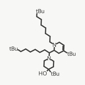 CC(C)(C)CCCCCCCN1CC=C(C(C)(C)C)CC1C(CCCCCCC(C)(C)C)N1CCC(O)(C(C)(C)C)CC1